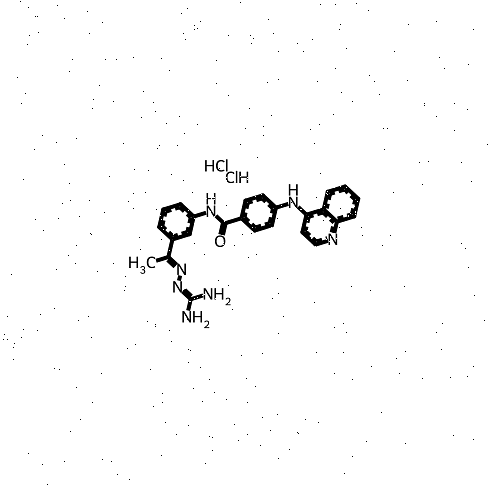 CC(=NN=C(N)N)c1cccc(NC(=O)c2ccc(Nc3ccnc4ccccc34)cc2)c1.Cl.Cl